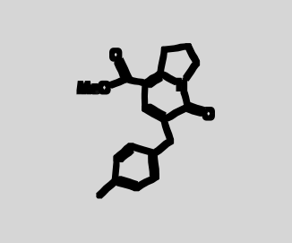 COC(=O)c1cc(Cc2ccc(C)cc2)c(=O)n2c1CCC2